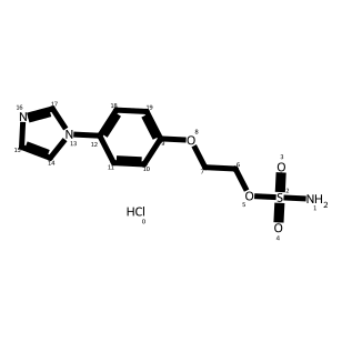 Cl.NS(=O)(=O)OCCOc1ccc(-n2ccnc2)cc1